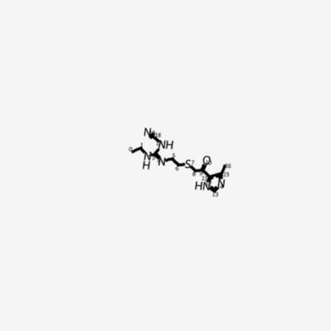 CCNC(=NCCSCC(=O)c1[nH]cnc1C)NC#N